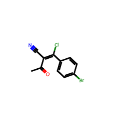 CC(=O)/C(C#N)=C(/Cl)c1ccc(Br)cc1